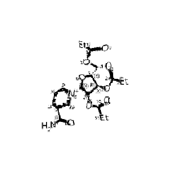 CCC(=O)OC[C@H]1O[C@@H]([n+]2cccc(C(N)=O)c2)[C@H](OC(=O)CC)[C@@H]1OC(=O)CC